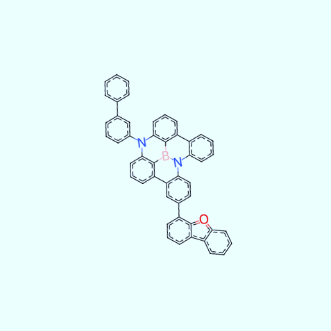 c1ccc(-c2cccc(N3c4cccc5c4B4c6c(cccc63)-c3cc(-c6cccc7c6oc6ccccc67)ccc3N4c3ccccc3-5)c2)cc1